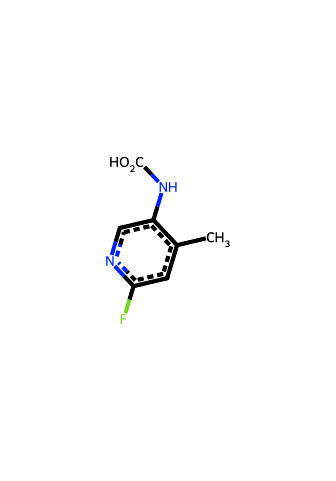 Cc1cc(F)ncc1NC(=O)O